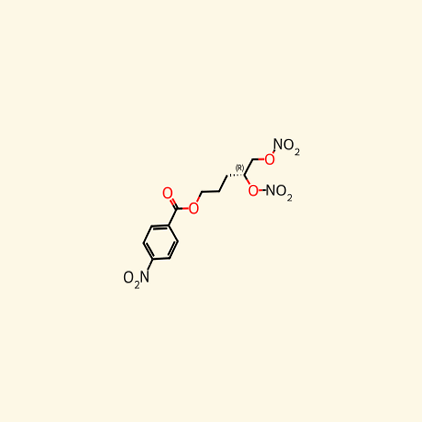 O=C(OCCC[C@H](CO[N+](=O)[O-])O[N+](=O)[O-])c1ccc([N+](=O)[O-])cc1